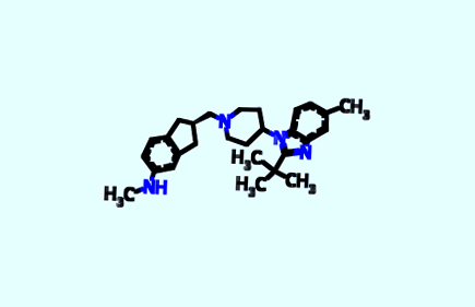 CNc1ccc2c(c1)C[C@H](CN1CCC(n3c(C(C)(C)C)nc4cc(C)ccc43)CC1)C2